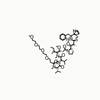 CC[C@H](C)[C@@H]([C@@H](CC(=O)N1CCC[C@H]1[C@H](OC)[C@@H](C)C(=S)N[C@@H](Cc1ccccc1)c1nccs1)OC)N(C)C(=O)[C@@H](NC(=O)[C@H](C(C)C)N(C)C(=O)CCOCCOCCOCCOC)C(C)C